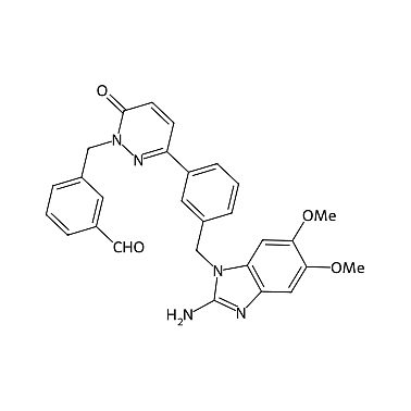 COc1cc2nc(N)n(Cc3cccc(-c4ccc(=O)n(Cc5cccc(C=O)c5)n4)c3)c2cc1OC